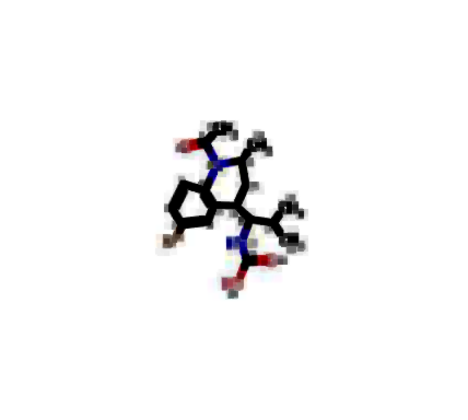 CC(=O)N1c2ccc(Br)cc2[C@H](C(NC(=O)O)C(C)C)C[C@@H]1C